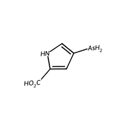 O=C(O)c1cc([AsH2])c[nH]1